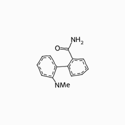 CNc1ccccc1-c1ccccc1C(N)=O